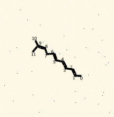 CC=CC=CC=CCC=C(C)C